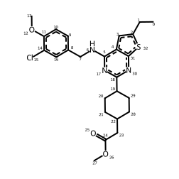 CCc1cc2c(NCc3ccc(OC)c(Cl)c3)nc(C3CCC(CC(=O)OC)CC3)nc2s1